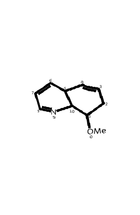 COC1CC=CC2C=CC=NC21